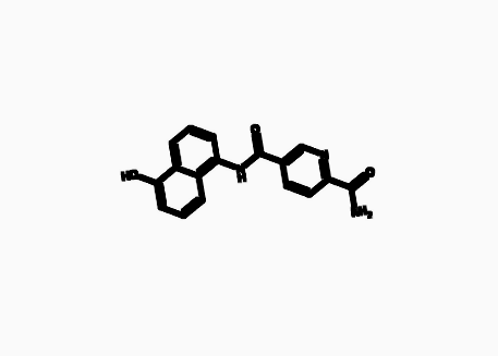 NC(=O)c1ccc(C(=O)Nc2cccc3c(O)cccc23)cn1